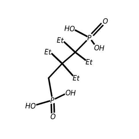 CCC(CC)(CP(=O)(O)O)C(CC)(CC)P(=O)(O)O